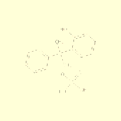 CC(C)(c1ccccc1)c1ccccc1O.O=P(O)(O)O